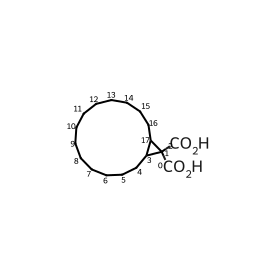 O=C(O)C1(C(=O)O)C2CCCCCCCCCCCCCC21